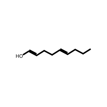 CCCC=CCCC=CO